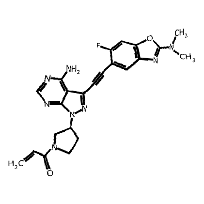 C=CC(=O)N1CC[C@H](n2nc(C#Cc3cc4nc(N(C)C)oc4cc3F)c3c(N)ncnc32)C1